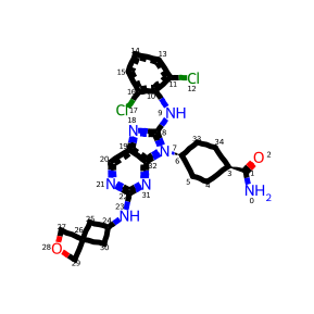 NC(=O)[C@H]1CC[C@H](n2c(Nc3c(Cl)cccc3Cl)nc3cnc(NC4CC5(COC5)C4)nc32)CC1